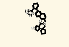 O=C(C1CCCC1)N(Cc1ccc2cc(-c3ccccc3-c3nnn[nH]3)ccc2c1)CC1(C(=O)O)CCCC1